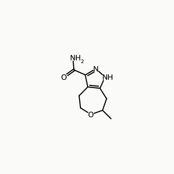 CC1Cc2[nH]nc(C(N)=O)c2CCO1